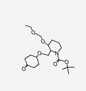 CCOCOC1CCCN(C(=O)OC(C)(C)C)C1COC1CCC(=O)CC1